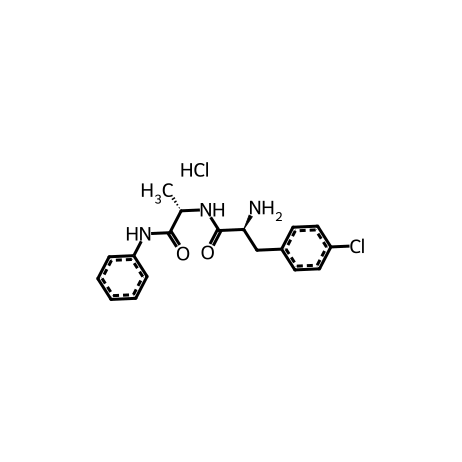 C[C@H](NC(=O)[C@@H](N)Cc1ccc(Cl)cc1)C(=O)Nc1ccccc1.Cl